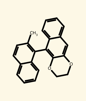 Cc1ccc2ccccc2c1-c1c2c(cc3ccccc13)OCCO2